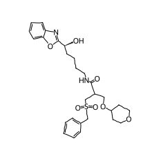 O=C(NCCCC[C@H](O)c1nc2ccccc2o1)C(COC1CCOCC1)CS(=O)(=O)Cc1ccccc1